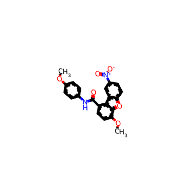 COc1ccc(NC(=O)c2ccc(OC)c3oc4ccc([N+](=O)[O-])cc4c23)cc1